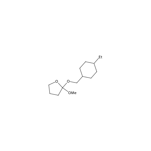 CCC1CCC(COC2(OC)CCCO2)CC1